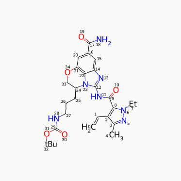 C=Cc1c(C)nn(CC)c1C(=O)Nc1nc2cc(C(N)=O)cc3c2n1[C@@H](CCCNC(=O)OC(C)(C)C)CO3